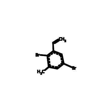 C=Cc1cc(Br)cc(C)c1Br